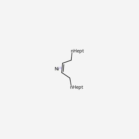 CCCCCCCC/C=C\CCCCCCCC.[Ni]